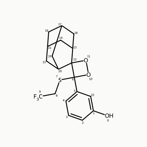 Oc1cccc(C2(SCC(F)(F)F)OOC23C2CC4CC(C2)CC3C4)c1